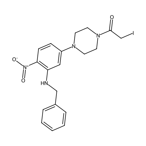 O=C(CI)N1CCN(c2ccc([N+](=O)[O-])c(NCc3ccccc3)c2)CC1